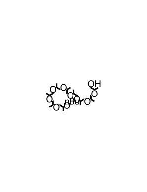 CCCCOC(C)COC(C)COC(C)COC(C)COC(C)COC(C)COC(C)COC(C)COC(C)CO